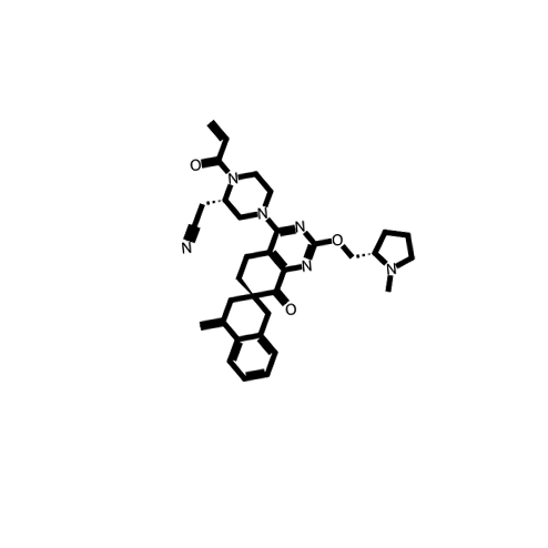 C=CC(=O)N1CCN(c2nc(OC[C@@H]3CCCN3C)nc3c2CC[C@@]2(CC(=C)c4ccccc4C2)C3=O)C[C@@H]1CC#N